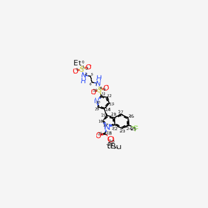 CCS(=O)(=O)NCCNS(=O)(=O)c1ccc(-c2cn(C(=O)OC(C)(C)C)c3cc(F)ccc23)cn1